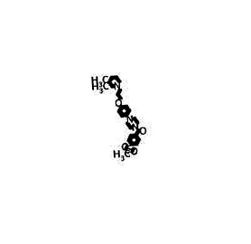 CC1(C)CCCN(CCCOc2ccc(N3CCN(C(=O)c4ccc(S(C)(=O)=O)cc4)CC3)cc2)C1